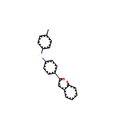 CC(C)c1ccc(Nc2ccc(-c3cc4ccccc4o3)cc2)cc1